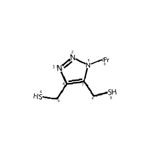 CC(C)n1nnc(CS)c1CS